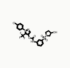 O=C(Nc1cccc(S(=O)(=O)N2CCC(O)C2)c1)Oc1cnn(-c2ccc(Cl)cc2)c1C(F)(F)F